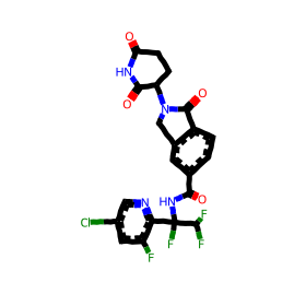 O=C1CCC(N2Cc3cc(C(=O)NC(F)(c4ncc(Cl)cc4F)C(F)F)ccc3C2=O)C(=O)N1